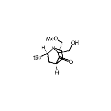 COC[C@]1(CO)C(=O)[C@H]2CCN1[C@H](C(C)(C)C)C2